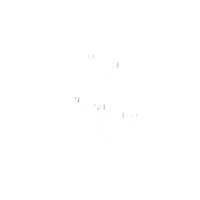 COC(=O)c1ccccc1-c1nc2cc(Cl)c(Cl)cc2[nH]1.O